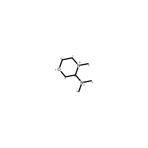 CN(C)C1COCCN1C